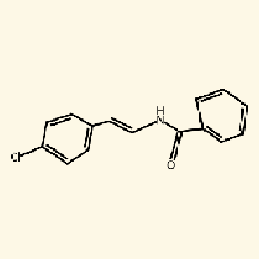 O=C(N/C=C/c1ccc(Cl)cc1)c1ccccc1